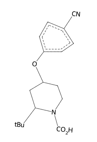 CC(C)(C)C1CC(Oc2ccc(C#N)cc2)CCN1C(=O)O